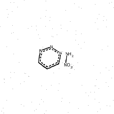 N[N+](=O)[O-].c1cnnnc1